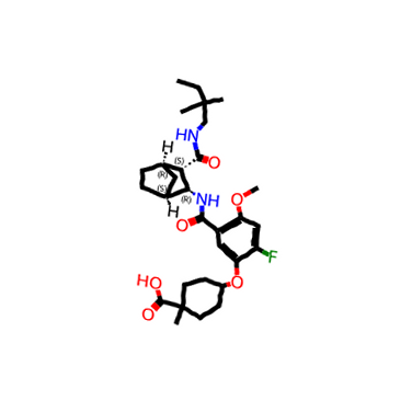 CCC(C)(C)CNC(=O)[C@H]1[C@@H]2CC[C@@H](C2)[C@H]1NC(=O)c1cc(OC2CCC(C)(C(=O)O)CC2)c(F)cc1OC